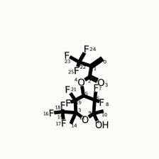 C=C(C(=O)OC1C(F)(F)C(C)(O)OC(C)(C(F)(F)F)C1(F)F)C(F)(F)F